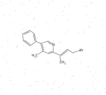 C/C(=C\CC(C)C)c1cc(C)c(-c2ccccc2)cn1